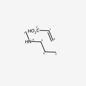 C=CC(=O)O.CCCNC